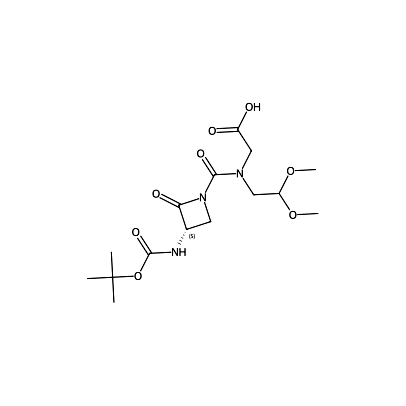 COC(CN(CC(=O)O)C(=O)N1C[C@H](NC(=O)OC(C)(C)C)C1=O)OC